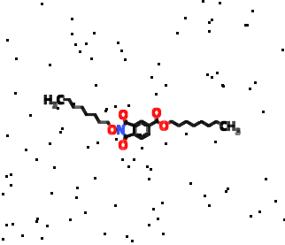 CCCCCCCCOC(=O)c1ccc2c(c1)C(=O)N(OCCCCCCCC)C2=O